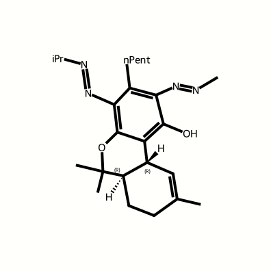 CCCCCc1c(N=NC)c(O)c2c(c1N=NC(C)C)OC(C)(C)[C@@H]1CCC(C)=C[C@@H]21